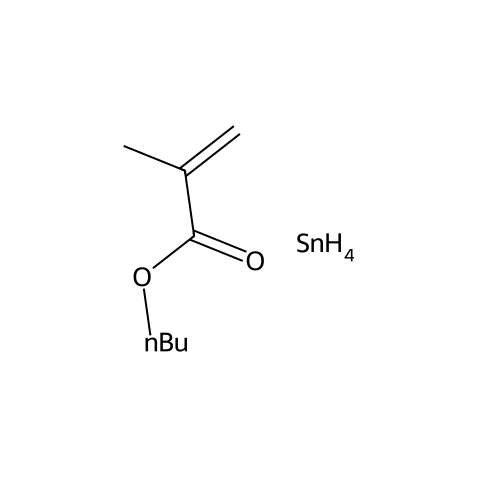 C=C(C)C(=O)OCCCC.[SnH4]